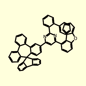 c1ccc(-c2ccccc2-c2nc(-c3ccc4c(c3)-c3ccccc3-c3ccccc3C43c4ccccc4-c4ccccc43)cc(-c3cccc4oc5ccccc5c34)n2)cc1